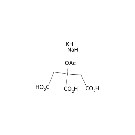 CC(=O)OC(CC(=O)O)(CC(=O)O)C(=O)O.[KH].[NaH]